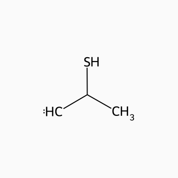 [CH]C(C)S